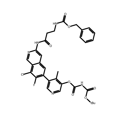 Cc1c(OC(=O)NC(=O)OC(C)(C)C)cncc1-c1cc2cc(NC(=O)CCNC(=O)OCc3ccccc3)ncc2c(Cl)c1F